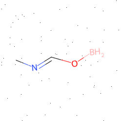 BOC=NC